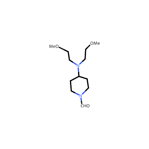 COCCN(CCOC)C1CCN(C=O)CC1